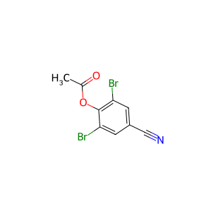 CC(=O)Oc1c(Br)cc(C#N)cc1Br